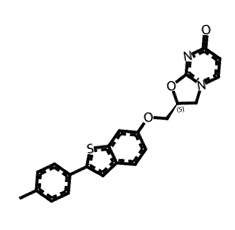 Cc1ccc(-c2cc3ccc(OC[C@@H]4Cn5ccc(=O)nc5O4)cc3s2)cc1